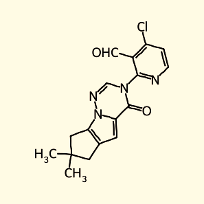 CC1(C)Cc2cc3c(=O)n(-c4nccc(Cl)c4C=O)cnn3c2C1